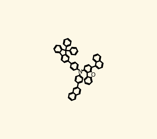 c1ccc(C2(c3ccccc3)c3ccccc3-c3ccc(-c4ccc(N(c5ccc(-c6ccc7ccccc7c6)cc5)c5ccc(-c6cccc7ccccc67)c6oc7ccccc7c56)cc4)cc32)cc1